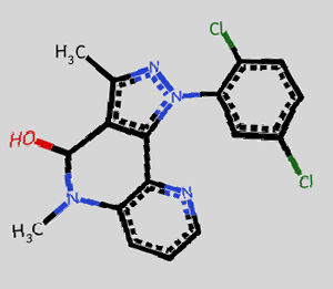 Cc1nn(-c2cc(Cl)ccc2Cl)c2c1C(O)N(C)c1cccnc1-2